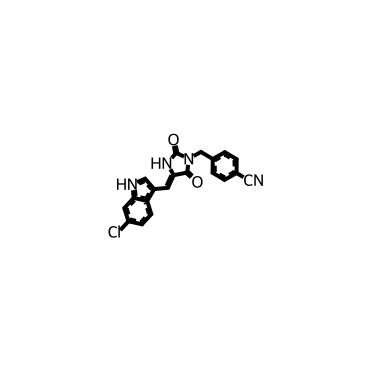 N#Cc1ccc(CN2C(=O)N/C(=C\c3c[nH]c4cc(Cl)ccc34)C2=O)cc1